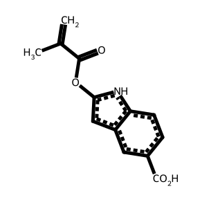 C=C(C)C(=O)Oc1cc2cc(C(=O)O)ccc2[nH]1